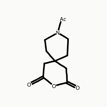 CC(=O)N1CCC2(CC1)CC(=O)OC(=O)C2